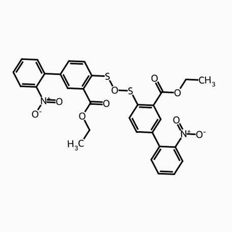 CCOC(=O)c1cc(-c2ccccc2[N+](=O)[O-])ccc1SOSc1ccc(-c2ccccc2[N+](=O)[O-])cc1C(=O)OCC